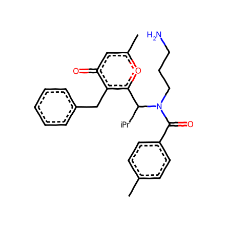 Cc1ccc(C(=O)N(CCCN)C(c2oc(C)cc(=O)c2Cc2ccccc2)C(C)C)cc1